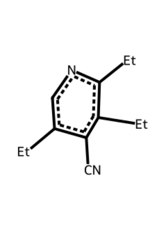 CCc1cnc(CC)c(CC)c1C#N